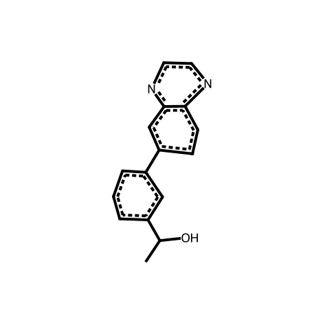 CC(O)c1cccc(-c2ccc3nccnc3c2)c1